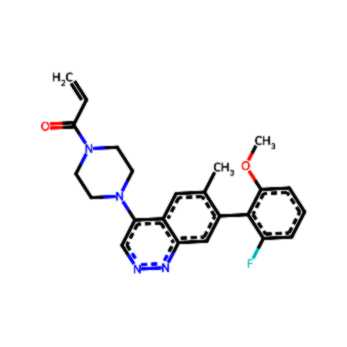 C=CC(=O)N1CCN(c2cnnc3cc(-c4c(F)cccc4OC)c(C)cc23)CC1